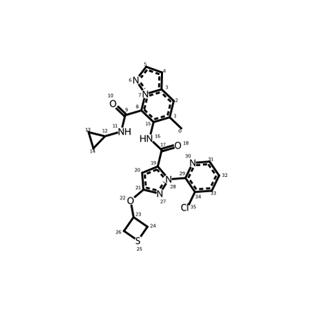 Cc1cc2ccnn2c(C(=O)NC2CC2)c1NC(=O)c1cc(OC2CSC2)nn1-c1ncccc1Cl